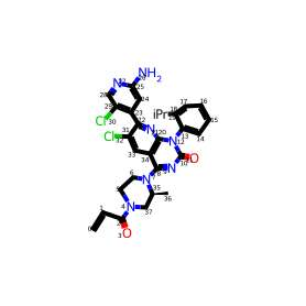 C=CC(=O)N1CCN(c2nc(=O)n(-c3ccccc3C(C)C)c3nc(-c4cc(N)ncc4Cl)c(Cl)cc23)[C@@H](C)C1